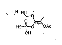 CC(=O)O[C@H](C)[C@H](OCNN)OP(=O)(O)S